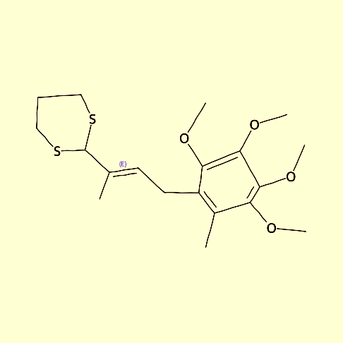 COc1c(C)c(C/C=C(\C)C2SCCCS2)c(OC)c(OC)c1OC